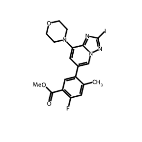 COC(=O)c1cc(-c2cc(N3CCOCC3)c3nc(I)nn3c2)c(C)cc1F